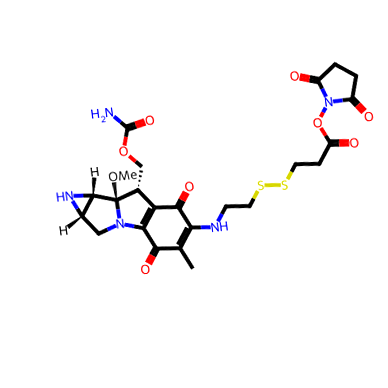 CO[C@@]12[C@H](COC(N)=O)C3=C(C(=O)C(C)=C(NCCSSCCC(=O)ON4C(=O)CCC4=O)C3=O)N1C[C@@H]1N[C@@H]12